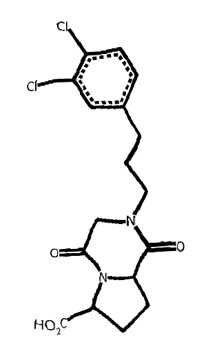 O=C(O)C1CCC2C(=O)N(CCCc3ccc(Cl)c(Cl)c3)CC(=O)N12